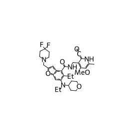 CCc1c(N(CC)C2CCOCC2)cc2oc(CN3CCC(F)(F)CC3)cc2c1C(=O)NCC1=C(OC)C=C(C)NC1=C=O